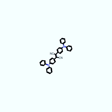 N#C/C(=C(/C#N)c1ccc(N(c2ccccc2)c2ccccc2)cc1)c1ccc(N(c2ccccc2)c2ccccc2)cc1